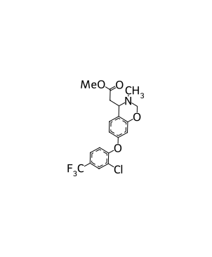 COC(=O)CC1c2ccc(Oc3ccc(C(F)(F)F)cc3Cl)cc2OCN1C